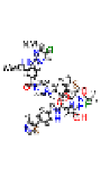 C=C(SC(C)(C)[C@H](NC(=O)C1(F)CC1)C(=O)N1C[C@H](O)CC1C(=O)NCc1ccc(-c2scnc2C)cc1)[C@H]1CC[C@@H](CN2CCN(C(=O)c3ccc(Nc4ncc(Cl)c(NC)n4)c(OC)c3)CC2)CC1